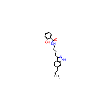 C=CCc1ccc2c(CCCCNC(=O)c3ccccc3O)n[nH]c2c1